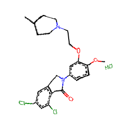 COc1ccc(N2Cc3cc(Cl)cc(Cl)c3C2=O)cc1OCCN1CCC(C)CC1.Cl